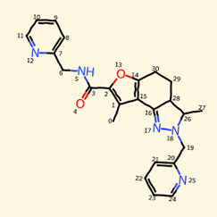 Cc1c(C(=O)NCc2ccccn2)oc2c1C1=NN(Cc3ccccn3)C(C)C1CC2